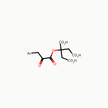 CC(=O)CC(=O)C(=O)OC(CC(=O)O)(CC(=O)O)C(=O)O